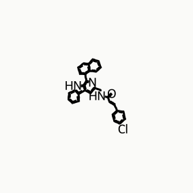 O=C(/C=C/c1ccc(Cl)cc1)NCc1cc2c([nH]c3ccccc32)c(-c2cccc3ccccc23)n1